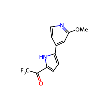 COc1cc(-c2ccc(C(=O)C(F)(F)F)[nH]2)ccn1